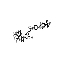 O=C(CCOC[C@H](CO)Nc1cn[nH]c(=O)c1C(F)(F)F)N1CCN(c2ncc(C(F)(F)F)cn2)CC1